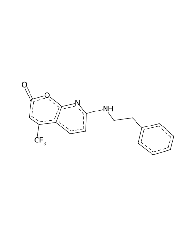 O=c1cc(C(F)(F)F)c2ccc(NCCc3ccccc3)nc2o1